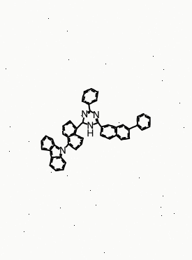 c1ccc(C2=NC(c3cccc4c(-n5c6ccccc6c6ccccc65)cccc34)NC(c3ccc4ccc(-c5ccccc5)cc4c3)=N2)cc1